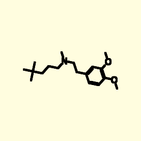 COc1ccc(CCN(C)CCCC(C)(C)C)cc1OC